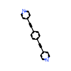 C(#Cc1ccc(C#Cc2ccncc2)cc1)c1ccncc1